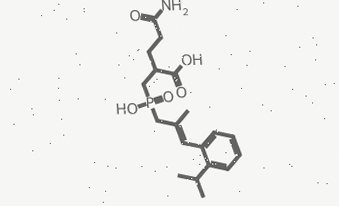 C/C(=C\c1ccccc1C(C)C)CP(=O)(O)CC(CCC(N)=O)C(=O)O